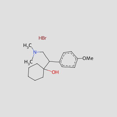 Br.COc1ccc(C(CN(C)C)C2(O)CCCCC2)cc1